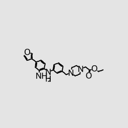 CCOC(=O)CN1CCN(Cc2cccc(Nc3ccc(-c4ccoc4)cc3N)c2)CC1